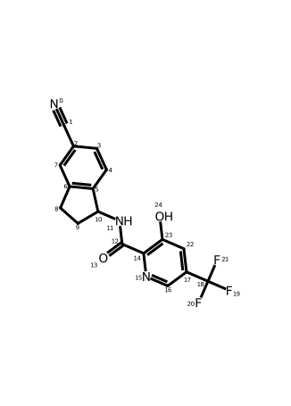 N#Cc1ccc2c(c1)CCC2NC(=O)c1ncc(C(F)(F)F)cc1O